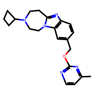 Cc1ccnc(OCc2ccc3nc4n(c3c2)CCN(C2CCC2)CC4)n1